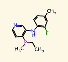 CCP(C)c1ccncc1Nc1ccc(C)cc1F